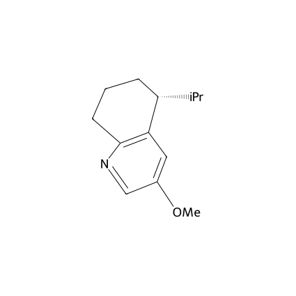 COc1cnc2c(c1)[C@@H](C(C)C)CCC2